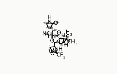 CC(C)(C)C[C@H](NC(=O)C(F)(F)F)C(=O)N1C[C@H]2[C@@H]([C@H]1C(=O)N[C@H](C#N)C[C@@H]1CCNC1=O)C2(C)C